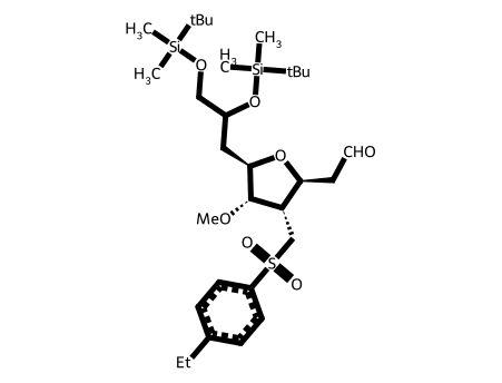 CCc1ccc(S(=O)(=O)C[C@@H]2[C@H](OC)[C@@H](CC(CO[Si](C)(C)C(C)(C)C)O[Si](C)(C)C(C)(C)C)O[C@H]2CC=O)cc1